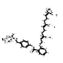 CCOP(=O)(OCC)OCc1ccc(OC(=O)c2ccccc2SC/C=C(\C)CC/C=C(\C)CCC=C(C)C)cc1